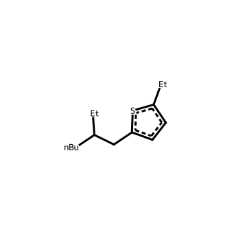 CCCCC(CC)Cc1ccc(CC)s1